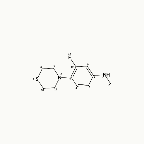 CNc1ccc(N2CCSCC2)c(F)c1